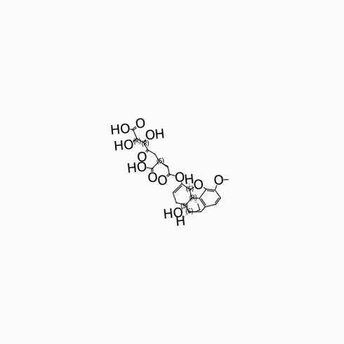 COc1ccc2c3c1O[C@@H]1C(OC(=O)C[C@H](CC(=O)[C@H](O)[C@@H](O)C(=O)O)C(=O)O)=CC[C@]4(O)[C@@H](CCC[C@@]314)C2